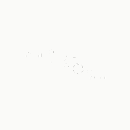 CCCCCCCCOc1ccc(OC(=O)C2COC(CCCCC)OC2)c(F)c1